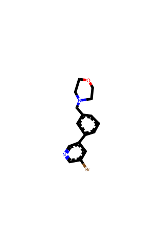 Brc1cncc(-c2cccc(CN3CCOCC3)c2)c1